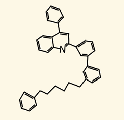 c1ccc(CCCCCCc2cccc(-c3cccc(-c4cc(-c5ccccc5)c5ccccc5n4)c3)c2)cc1